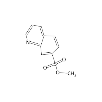 COS(=O)(=O)c1ccc2cccnc2c1